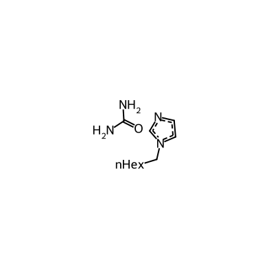 CCCCCCCn1ccnc1.NC(N)=O